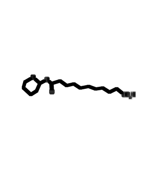 O=C(O)CCCCCCCCCC(=O)OC1CCCCO1